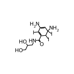 NC1=CC(N)(I)C(I)C(C(=O)NCC(O)CO)=C1I